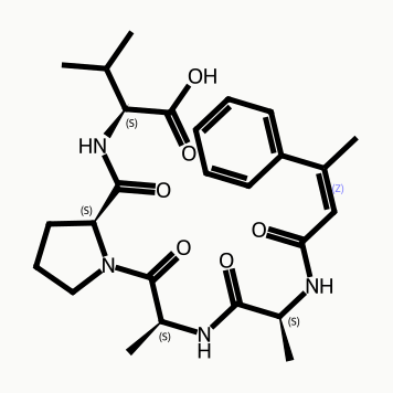 C/C(=C/C(=O)N[C@@H](C)C(=O)N[C@@H](C)C(=O)N1CCC[C@H]1C(=O)N[C@H](C(=O)O)C(C)C)c1ccccc1